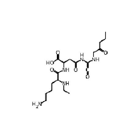 CCCC(=O)CNC(=C=O)NC(=O)CC(NC(=O)C(CCCCN)NCC)C(=O)O